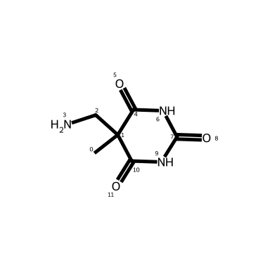 CC1(CN)C(=O)NC(=O)NC1=O